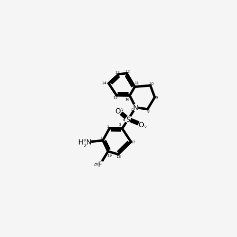 Nc1cc(S(=O)(=O)N2CCCc3ccccc32)ccc1F